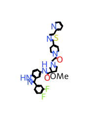 CO[C@@]1(C(=O)Nc2ccc3[nH]nc(-c4ccc(F)c(F)c4)c3c2)CCN(CC(=O)N2CC=C(c3ncc(-c4ccccn4)s3)CC2)C1